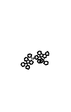 c1ccc(N(c2ccc3c(c2)-c2ccccc2C32c3ccccc3-c3c2c(N(c2ccccc2)c2ccccc2)cc2ccccc32)c2cccc3c2-c2ccccc2C3(c2ccccc2)c2ccccc2)cc1